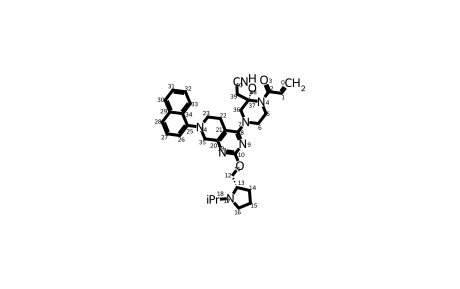 C=CC(=O)N1CCN(c2nc(OC[C@@H]3CCCN3C(C)C)nc3c2CCN(c2cccc4ccccc24)C3)C[C@@]1(O)CC#N